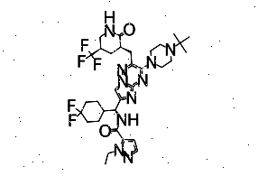 CCn1nccc1C(=O)N[C@H](c1cn2nc(C[C@H]3C[C@@H](C(F)(F)F)CNC3=O)c(N3CCN(C(C)(C)C)CC3)nc2n1)C1CCC(F)(F)CC1